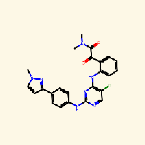 CN(C)C(=O)C(=O)c1ccccc1Nc1nc(Nc2ccc(-c3ccn(C)n3)cc2)ncc1Cl